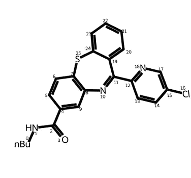 CCCCNC(=O)c1ccc2c(c1)N=C(c1ccc(Cl)cn1)c1ccccc1S2